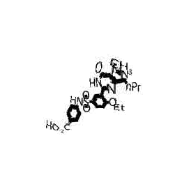 CCCc1nn(C)c2c(=O)[nH]c(-c3cc(S(=O)(=O)Nc4ccc(C(=O)O)cc4)ccc3OCC)nc12